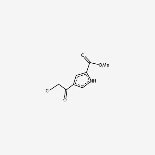 COC(=O)c1cc(C(=O)CCl)c[nH]1